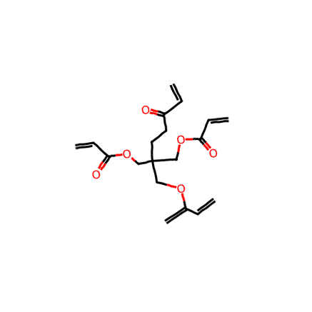 C=CC(=C)OCC(CCC(=O)C=C)(COC(=O)C=C)COC(=O)C=C